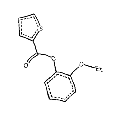 CCOc1c[c]ccc1OC(=O)c1cccs1